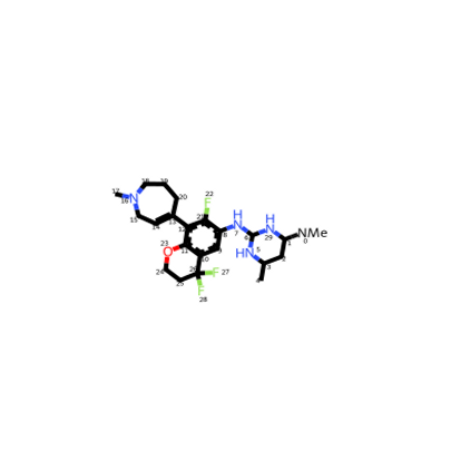 CNC1CC(C)NC(Nc2cc3c(c(C4=CCN(C)CCC4)c2F)OCCC3(F)F)N1